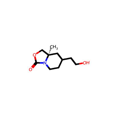 C[C@@]12COC(=O)N1CCC(CCO)C2